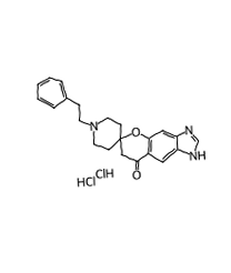 Cl.Cl.O=C1CC2(CCN(CCc3ccccc3)CC2)Oc2cc3nc[nH]c3cc21